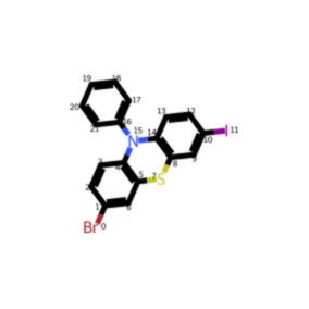 Brc1ccc2c(c1)Sc1cc(I)ccc1N2c1ccccc1